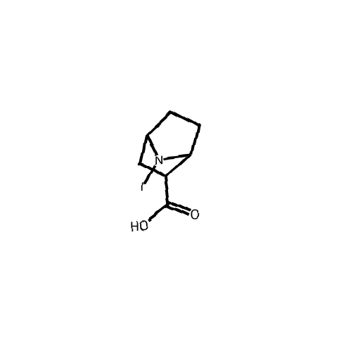 O=C(O)C1CC2CCC1N2I